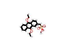 CCOc1c2ccccc2c(OCC)c2cc(CS(=O)(=O)OC)ccc12